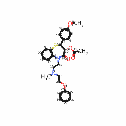 COc1ccc(C2Sc3ccccc3N(CCN(C)CCOc3ccccc3)C(=O)[C@H]2OC(C)=O)cc1